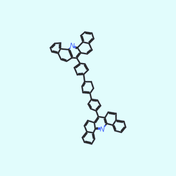 C1=C(c2ccc(-c3c4ccc5ccccc5c4nc4c3ccc3ccccc34)cc2)CCC(c2ccc(-c3c4ccc5ccccc5c4nc4c3ccc3ccccc34)cc2)=C1